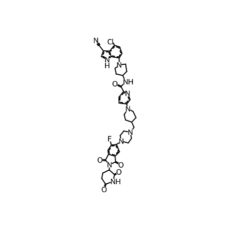 N#Cc1c[nH]c2c(N3CCC(NC(=O)c4ccc(N5CCC(CN6CCN(c7cc8c(cc7F)C(=O)N(C7CCC(=O)NC7=O)C8=O)CC6)CC5)cn4)CC3)ccc(Cl)c12